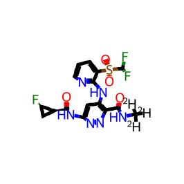 [2H]C([2H])([2H])NC(=O)c1nnc(NC(=O)[C@H]2C[C@@H]2F)cc1Nc1ncccc1S(=O)(=O)C(F)F